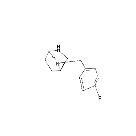 Fc1ccc(CN2CC3CCC2CN3)cc1